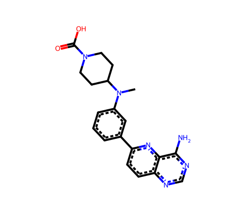 CN(c1cccc(-c2ccc3ncnc(N)c3n2)c1)C1CCN(C(=O)O)CC1